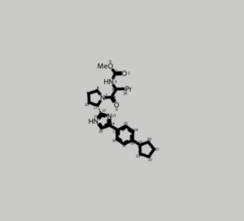 COC(=O)NC(C(=O)N1CCC[C@H]1c1nc(-c2ccc(C3CCCC3)cc2)c[nH]1)C(C)C